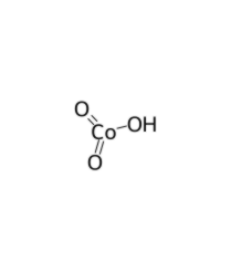 [O]=[Co](=[O])[OH]